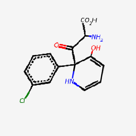 NC(C(=O)O)C(=O)C1(c2cccc(Cl)c2)NC=CC=C1O